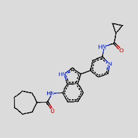 O=C(Nc1cc(-c2c[nH]c3c(NC(=O)C4CCCCCC4)cccc23)ccn1)C1CC1